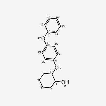 OC1CCCCC1Oc1ccc(Oc2ccccc2)cc1